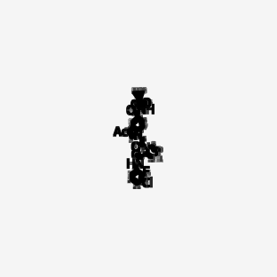 CC(=O)c1cn(CC(=O)N2C[Si](C)(C)C[C@H]2C(=O)NCc2cccc(Cl)c2F)c2ccc(C(=O)NS(=O)(=O)C3CC3)cc12